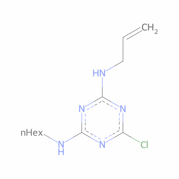 C=CCNc1nc(Cl)nc(NCCCCCC)n1